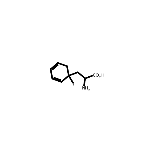 NC(CC1(I)C=CC=CC1)C(=O)O